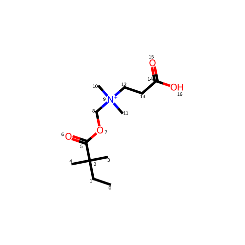 CCC(C)(C)C(=O)OC[N+](C)(C)CCC(=O)O